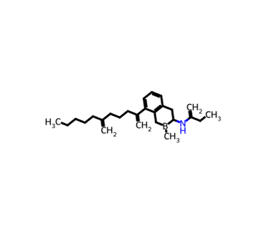 C=C(CCCCC)CCCC(=C)c1cccc2c1CB(C)C(NC(=C)CC)C2